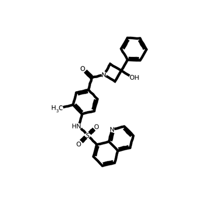 Cc1cc(C(=O)N2CC(O)(c3ccccc3)C2)ccc1NS(=O)(=O)c1cccc2cccnc12